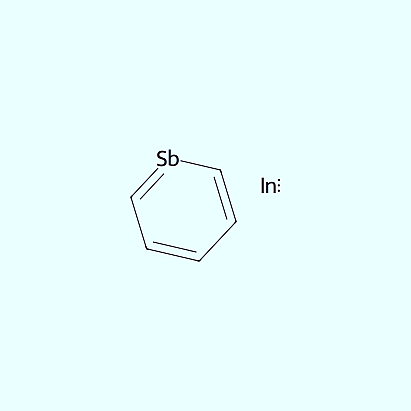 C1=C[CH]=[Sb][CH]=C1.[In]